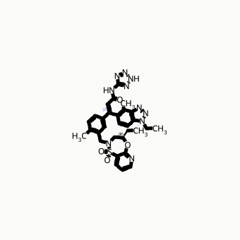 CC[C@@H]1CN(Cc2cc(/C(=C/C(=O)Nc3nn[nH]n3)c3ccc4c(nnn4CC)c3C)ccc2C)S(=O)(=O)c2cccnc2O1